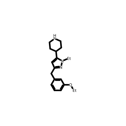 CCOc1cccc(Cc2cc(C3CCNCC3)n(CC)n2)c1